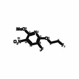 COc1nc(OCCF)c(F)cc1[N+](=O)[O-]